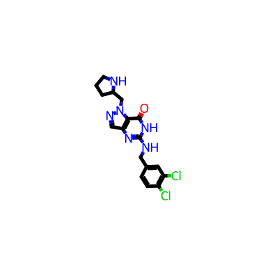 O=c1[nH]c(NCc2ccc(Cl)c(Cl)c2)nc2cnn(CC3CCCN3)c12